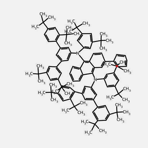 CC(C)(C)c1cc(-c2cc(-c3ccc(C(C)(C)C)cc3C(C)(C)C)cc(N(c3cc(C(C)(C)C)cc(C(C)(C)C)c3)c3c4ccccc4c(N(c4cc(-c5cc(C(C)(C)C)cc(C(C)(C)C)c5)cc(-c5ccc(C(C)(C)C)cc5C(C)(C)C)c4)c4cc(C(C)(C)C)cc(C(C)(C)C)c4)c4cc(-c5ccccc5)ccc34)c2)cc(C(C)(C)C)c1